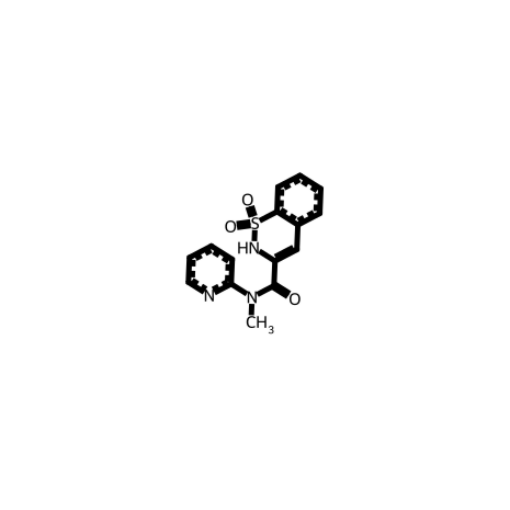 CN(C(=O)C1=Cc2ccccc2S(=O)(=O)N1)c1ccccn1